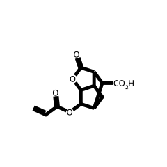 C=CC(=O)OC1C2CC3C1OC(=O)C3C2C(=O)O